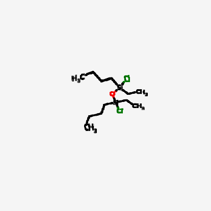 CCCC[Si](Cl)(CC)O[Si](Cl)(CC)CCCC